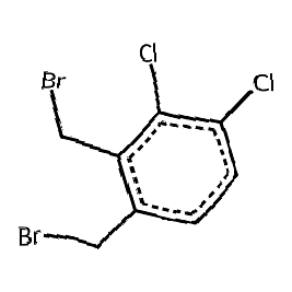 Clc1ccc(CBr)c(CBr)c1Cl